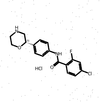 Cl.O=C(Nc1ccc([C@H]2CNCCO2)cc1)c1ccc(Cl)cc1F